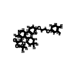 Cc1cc(OCCOc2ccc(-c3cnc(C)c([C@H](OC(C)(C)C)C(=O)O)c3N3CCC(C)(C)CC3)cn2)ccc1F